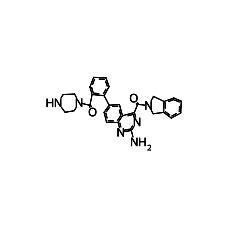 Nc1nc(C(=O)N2Cc3ccccc3C2)c2cc(-c3ccccc3C(=O)N3CCNCC3)ccc2n1